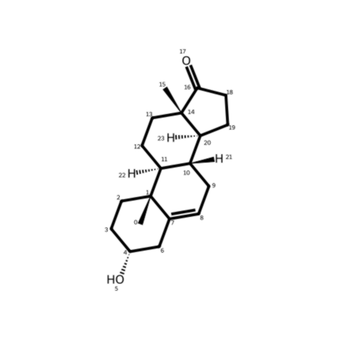 C[C@]12CC[C@@H](O)CC1=CC[C@@H]1[C@@H]2CC[C@]2(C)C(=O)CC[C@@H]12